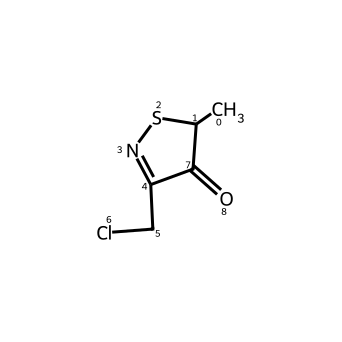 CC1SN=C(CCl)C1=O